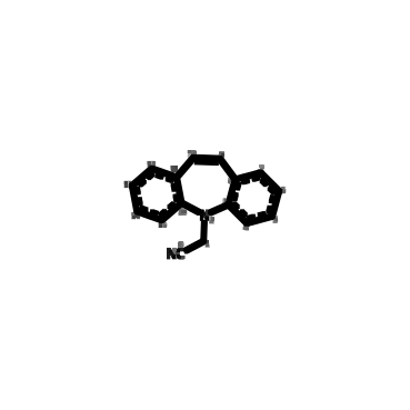 N#CCN1c2ccccc2C=Cc2ccccc21